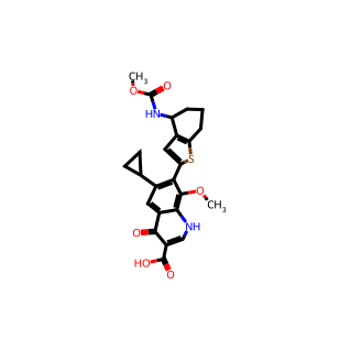 COC(=O)NC1CCCc2sc(-c3c(C4CC4)cc4c(=O)c(C(=O)O)c[nH]c4c3OC)cc21